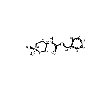 O=C(NC1CCS(=O)(=O)CC1)OCc1ccccc1